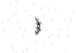 CCCOCCS(=O)(=O)N1CCn2c(c(C)c3cc(C(F)(F)F)cnc32)C1